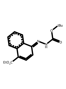 CCOC(=O)C1=C=CC(=NNC(=O)OC(C)(C)C)c2ccccc21